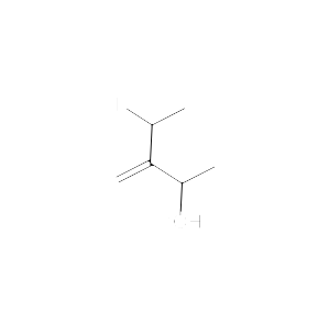 C=C(C(C)O)C(C)F